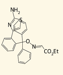 CCOC(=O)C=NOC(c1ccccc1)(c1ccccc1)c1ccccc1-c1csc(N)n1